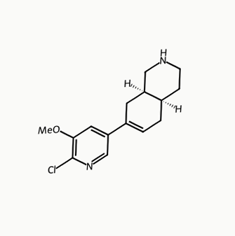 COc1cc(C2=CC[C@@H]3CCNC[C@@H]3C2)cnc1Cl